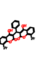 CC(C)c1cccc2c(O)c(C(c3ccccc3)c3c(O)c4cccc(C(C)C)c4oc3=O)c(=O)oc12